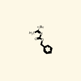 C[CH][C@@H](C)C(C)=NC(=O)OCc1ccccc1